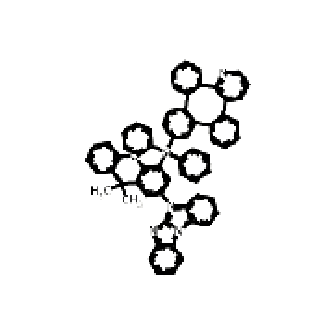 CC1(C)c2ccccc2Oc2c1cc(-n1c3ccccc3n3c4ccccc4nc13)cc2[Si](c1ccccc1)(c1ccccc1)c1ccc2c(c1)-c1ccccc1-c1cccnc1-c1ccccc1-2